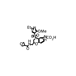 CCn1cc(S(=O)(=O)N2CC(CNC(=O)C3COC3)Oc3ccc(NC(=O)O)cc32)c(OC)n1